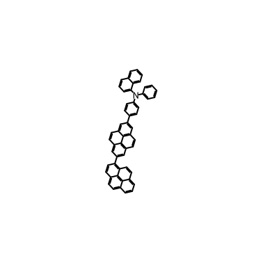 c1ccc(N(c2ccc(-c3cc4ccc5cc(-c6ccc7ccc8cccc9ccc6c7c89)cc6ccc(c3)c4c56)cc2)c2cccc3ccccc23)cc1